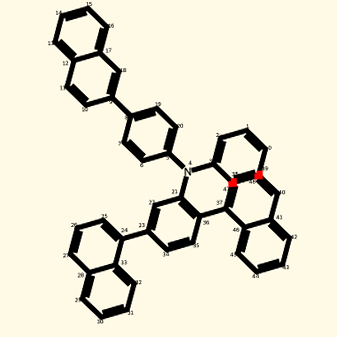 c1ccc(N(c2ccc(-c3ccc4ccccc4c3)cc2)c2cc(-c3cccc4ccccc34)ccc2-c2cccc3ccccc23)cc1